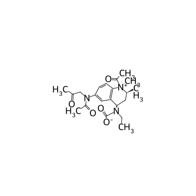 CCN(C(=O)[O-])[C@@H]1C[C@H](C)[N+](C)(C(C)=O)c2ccc(N(CC(C)=O)C(C)=O)cc21